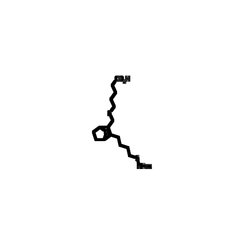 CCCCCCSCCCCC1C2CCC(O2)C1CSCCCCC(=O)O